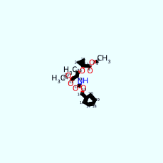 CCOC(=O)C1(O[C@H](C)[C@H](NC(=O)OCc2ccccc2)C(=O)OC)CC1